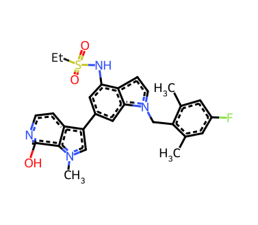 CCS(=O)(=O)Nc1cc(-c2cn(C)c3c(O)nccc23)cc2c1ccn2Cc1c(C)cc(F)cc1C